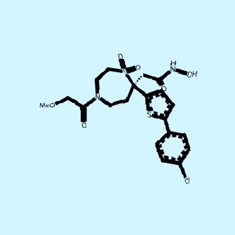 COCC(=O)N1CC[C@](CC(=O)NO)(c2ccc(-c3ccc(Cl)cc3)s2)S(=O)(=O)CC1